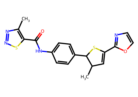 Cc1nnsc1C(=O)Nc1ccc(C2SC(c3ncco3)=CC2C)cc1